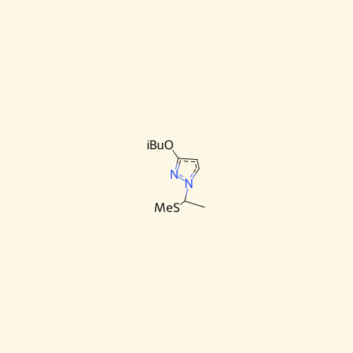 CSC(C)n1ccc(OCC(C)C)n1